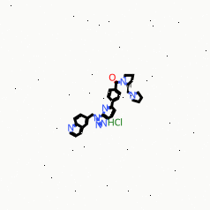 Cl.O=C(c1ccc(-c2ccc3nnn(Cc4ccc5ncccc5c4)c3n2)cc1)N1CCC[C@H]1CN1CCCC1